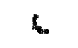 C=C[C@]1(COC=O)CC[C@@H](C(=C)C)[C@H](c2ccc(CN3CC(F)(F)C3)cc2)C1